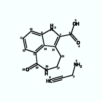 C#CCN.O=C(O)c1[nH]c2cccc3c2c1CCNC3=O